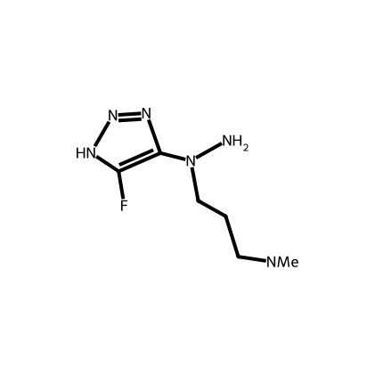 CNCCCN(N)c1nn[nH]c1F